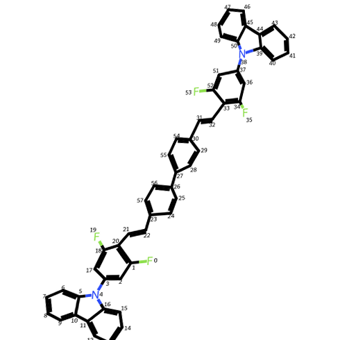 Fc1cc(-n2c3ccccc3c3ccccc32)cc(F)c1C=Cc1ccc(-c2ccc(C=Cc3c(F)cc(-n4c5ccccc5c5ccccc54)cc3F)cc2)cc1